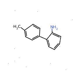 [CH2]c1ccc(-c2ccccc2N)cc1